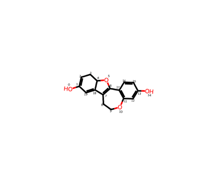 OC1=CCC2OC3=C(CCOc4cc(O)ccc43)C2=C1